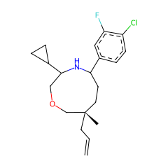 C=CC[C@@]1(C)CCC(c2ccc(Cl)c(F)c2)NC(C2CC2)COC1